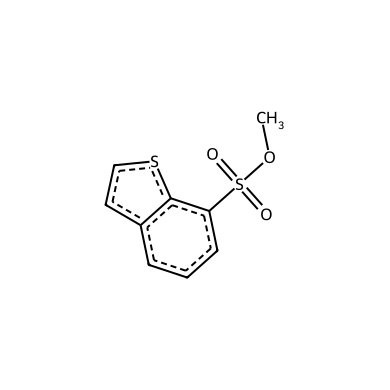 COS(=O)(=O)c1cccc2ccsc12